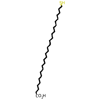 O=C(O)CCCCCCCCCCCCCCCCCCCCCCCCCCCCS